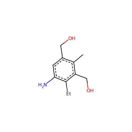 CCc1c(N)cc(CO)c(C)c1CO